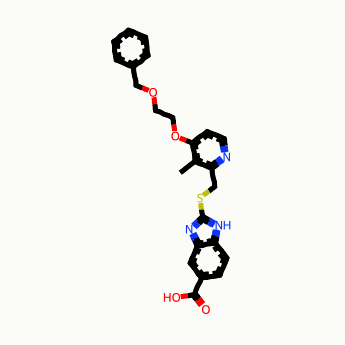 Cc1c(OCCOCc2ccccc2)ccnc1CSc1nc2cc(C(=O)O)ccc2[nH]1